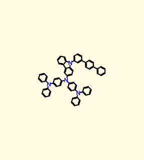 c1ccc(-c2ccc(-c3cccc(-n4c5ccccc5c5cc(N(c6ccc(N(c7ccccc7)c7ccccc7)cc6)c6ccc(N(c7ccccc7)c7ccccc7)cc6)ccc54)c3)cc2)cc1